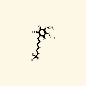 COC1=C(OC)C(=O)C(CCCCCCC(F)(F)F)=C(C)C1=O